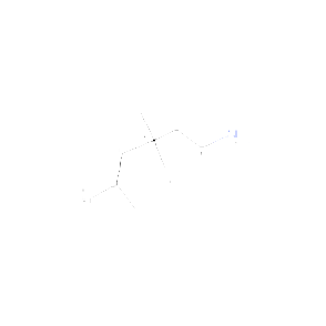 CCC(C)C(C)CC(C)(CC)CCN